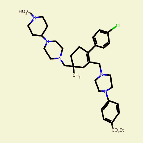 CCOC(=O)c1ccc(N2CCN(CC3=C(c4ccc(Cl)cc4)CCC(C)(CN4CCN(C5CCN(C(=O)O)CC5)CC4)C3)CC2)cc1